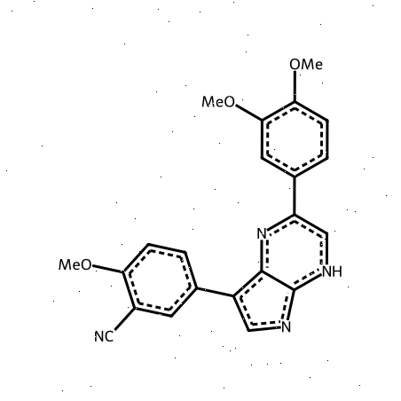 COc1ccc(-c2cnc3[nH]cc(-c4ccc(OC)c(OC)c4)nc2-3)cc1C#N